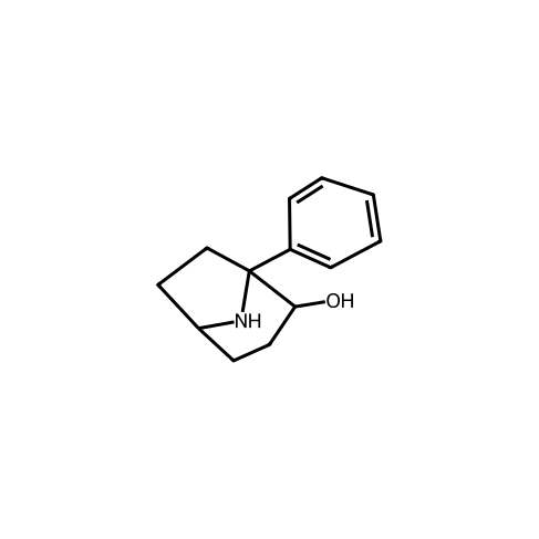 OC1CCC2CCC1(c1ccccc1)N2